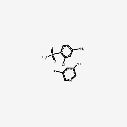 CS(=O)(=O)c1ccc(N)cc1Cl.Nc1cncc(Br)c1